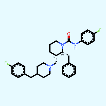 O=C(Nc1ccc(F)cc1)N1CCC[C@@H](CN2CCC(Cc3ccc(F)cc3)CC2)[C@H]1Cc1ccccc1